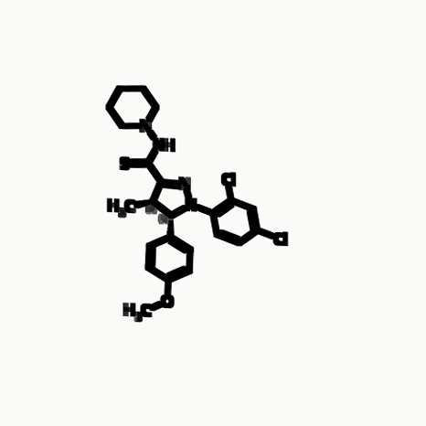 COc1ccc([C@@H]2[C@@H](C)C(C(=S)NN3CCCCC3)=NN2c2ccc(Cl)cc2Cl)cc1